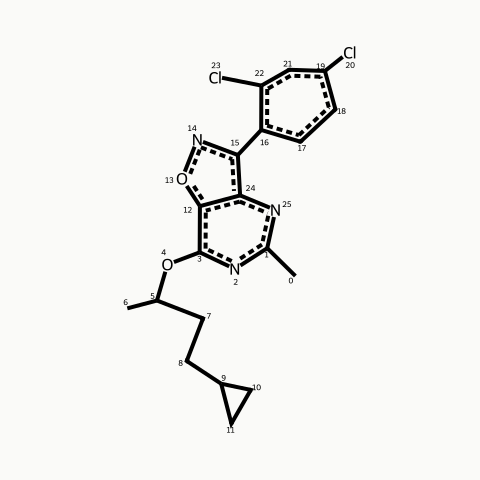 Cc1nc(OC(C)CCC2CC2)c2onc(-c3ccc(Cl)cc3Cl)c2n1